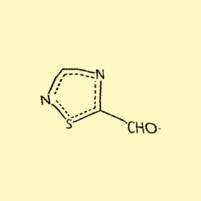 O=[C]c1ncns1